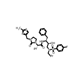 Cc1nc(CN2CCN([C@H](C(=O)N[C@@H](Cc3ccccc3)[C@@H](O)CN(CC(C)C)S(=O)(=O)c3ccc(F)cc3)C(C)C)C2=O)cs1